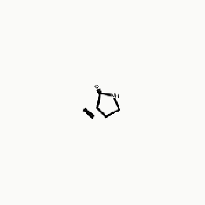 C=C.O=C1CCCN1